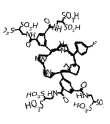 O=C(NCC(S(=O)(=O)O)S(=O)(=O)O)c1cc(C(=O)NCC(S(=O)(=O)O)S(=O)(=O)O)cc(-c2c3nc(c(-c4ccc(F)cc4)c4ccc([nH]4)c(-c4cc(C(=O)NCC(S(=O)(=O)O)S(=O)(=O)O)cc(C(=O)NCC(S(=O)(=O)O)S(=O)(=O)O)c4)c4ccc([nH]4)c4ccc2[nH]4)C=C3)c1